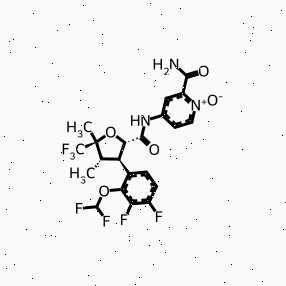 C[C@H]1[C@H](c2ccc(F)c(F)c2OC(F)F)[C@@H](C(=O)Nc2cc[n+]([O-])c(C(N)=O)c2)O[C@]1(C)C(F)(F)F